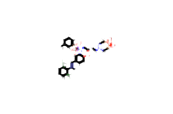 C/C(=C\c1ccc2c(c1)N(S(=O)(=O)c1cccc(C)c1)C[C@H](CCN1CCS(=O)(=O)CC1)O2)c1c(F)cccc1Cl